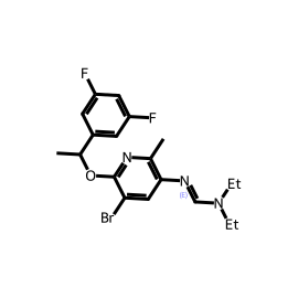 CCN(/C=N/c1cc(Br)c(OC(C)c2cc(F)cc(F)c2)nc1C)CC